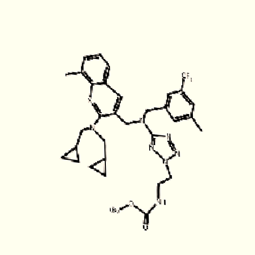 Cc1cc(CN(Cc2cc3cccc(C)c3nc2N(CC2CC2)CC2CC2)c2nnn(CCNC(=O)OC(C)(C)C)n2)cc(C(F)(F)F)c1